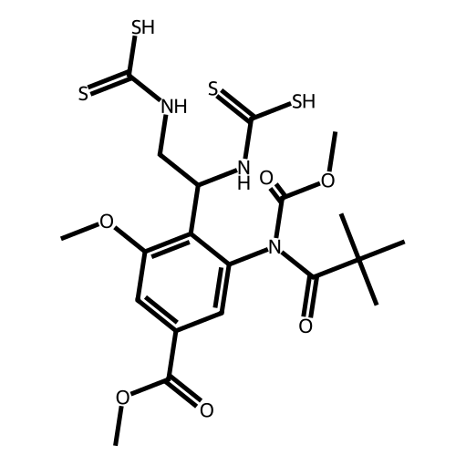 COC(=O)c1cc(OC)c(C(CNC(=S)S)NC(=S)S)c(N(C(=O)OC)C(=O)C(C)(C)C)c1